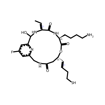 C/C=C1\NC(O)c2cc(F)cc(n2)CNC(=O)C[C@@H](/C=C/CCS)OC(=O)[C@H](CCCCN)NC1=O